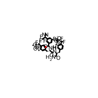 COP(=O)(OC)C(F)(F)c1ccc(C[C@H](NC(=O)[C@H](Cc2ccc(C(F)(F)P(=O)(OC)OC)cc2)NC(=O)c2cc(Br)cc(C3(C(F)(F)F)N=N3)c2)C(N)=O)cc1